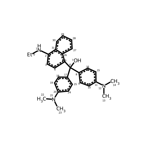 CCNc1ccc(C(O)(c2ccc(N(C)C)cc2)c2ccc(N(C)C)cc2)c2ccccc12